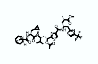 COC(=O)[C@@H](C)C[C@H](Cc1nc(C(F)(F)F)cs1)NC(=O)c1csc([C@@H](C[C@H](C(C)C)N(C)C(=O)[C@H](CC2CC2)NC(=O)[C@H]2CC3CCN2CC3)OC(C)=O)n1